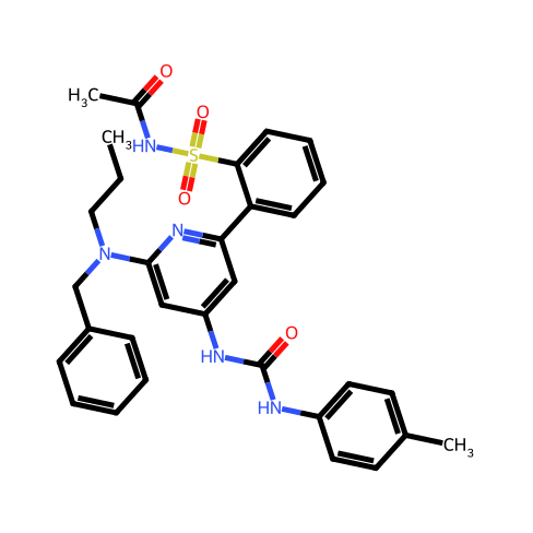 CCCN(Cc1ccccc1)c1cc(NC(=O)Nc2ccc(C)cc2)cc(-c2ccccc2S(=O)(=O)NC(C)=O)n1